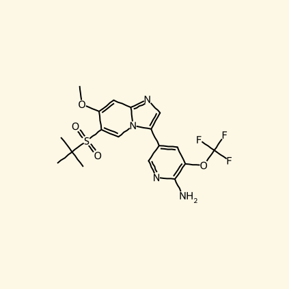 COc1cc2ncc(-c3cnc(N)c(OC(F)(F)F)c3)n2cc1S(=O)(=O)C(C)(C)C